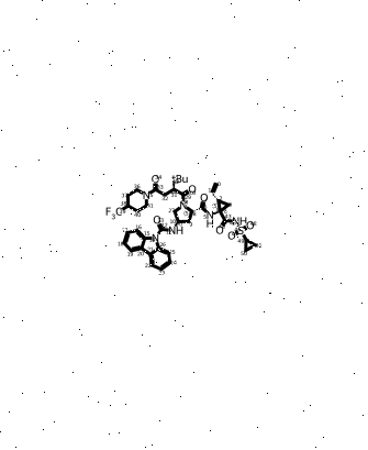 C=C[C@@H]1C[C@]1(NC(=O)[C@@H]1C[C@@H](NC(=O)n2c3ccccc3c3ccccc32)CN1C(=O)[C@@H](CC(=O)N1CCC(C(F)(F)F)CC1)C(C)(C)C)C(=O)NS(=O)(=O)C1CC1